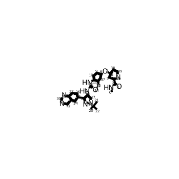 CNC(=O)c1cc(Oc2ccc(NC(=O)Nc3cn(C(C)(C)C)nc3-c3ccc4ncncc4c3)c(F)c2)ccn1